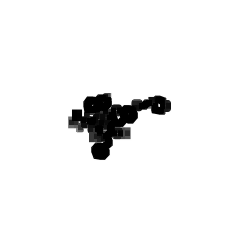 CC(C)(C)OC(=O)NC(Cc1ccccc1)C(O)CC(Cc1ccc(OCCN2CCOCC2)cc1)C(=O)N[C@@H]1CSCc2ccccc21